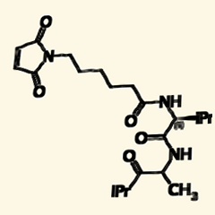 CC(C)C(=O)C(C)NC(=O)[C@@H](NC(=O)CCCCCN1C(=O)C=CC1=O)C(C)C